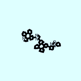 c1ccc2c(c1)-c1ccccc1-c1cc(-c3cccc4c3nc3oc5ccccc5n34)ccc1-c1ccc(-c3ccnc(-c4ccc5c(c4)-c4ccccc4-c4ccccc4-c4ncccc4-5)n3)cc1-2